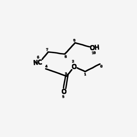 CCOC(C)=O.N#CCCCO